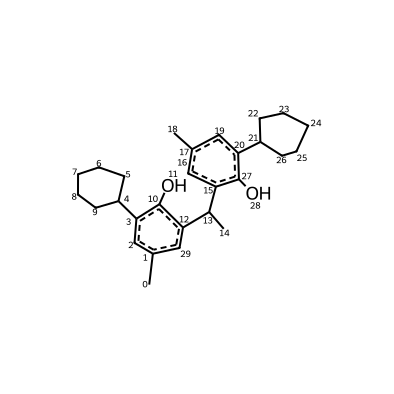 Cc1cc(C2CCCCC2)c(O)c(C(C)c2cc(C)cc(C3CCCCC3)c2O)c1